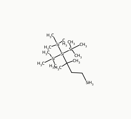 CC(C)(CC[SiH3])[Si]([Si](C)(C)C)([Si](C)(C)C)[Si](C)(C)C